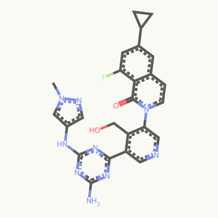 Cn1cc(Nc2nc(N)nc(-c3cncc(-n4ccc5cc(C6CC6)cc(F)c5c4=O)c3CO)n2)cn1